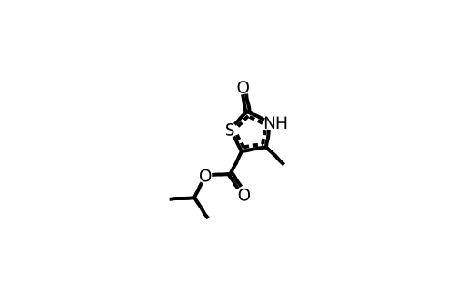 Cc1[nH]c(=O)sc1C(=O)OC(C)C